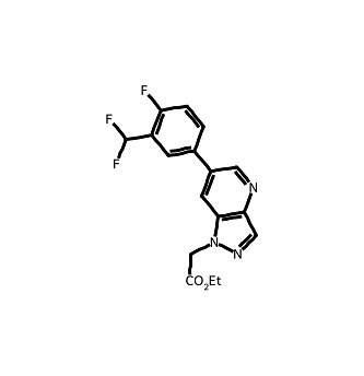 CCOC(=O)Cn1ncc2ncc(-c3ccc(F)c(C(F)F)c3)cc21